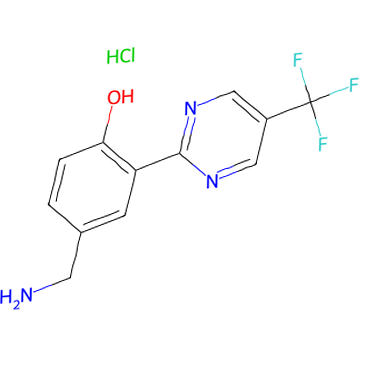 Cl.NCc1ccc(O)c(-c2ncc(C(F)(F)F)cn2)c1